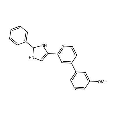 COc1cncc(-c2ccnc(C3=CNC(c4ccccc4)N3)c2)c1